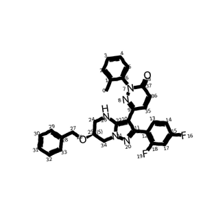 Cc1ccccc1-n1nc(-c2c(-c3ccc(F)cc3F)nn3c2NC[C@H](OCc2ccccc2)C3)ccc1=O